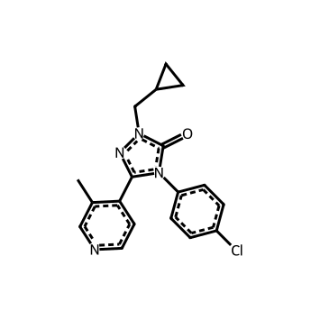 Cc1cnccc1-c1nn(CC2CC2)c(=O)n1-c1ccc(Cl)cc1